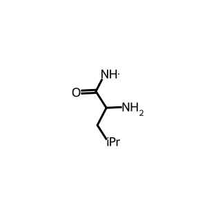 CC(C)CC(N)C([NH])=O